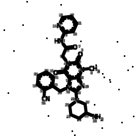 Cn1c(=O)n(CC(=O)Nc2ccccn2)c(=O)c2c1nc(N1CCCC(N)C1)n2Cc1ccccc1C#N